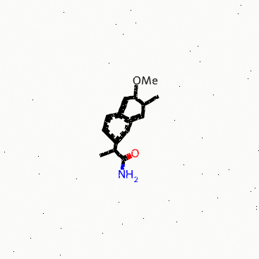 COC1C=c2ccc(C(C)C(N)=O)cc2=CC1C